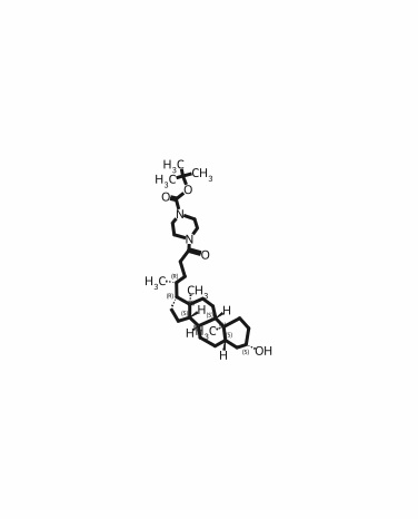 C[C@H](CCC(=O)N1CCN(C(=O)OC(C)(C)C)CC1)[C@H]1CC[C@H]2[C@@H]3CC[C@H]4C[C@@H](O)CC[C@]4(C)[C@H]3CC[C@]12C